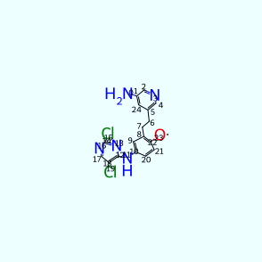 Nc1cncc(CCc2cc(Nc3nc(Cl)ncc3Cl)ccc2[O])c1